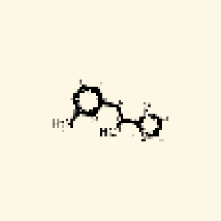 Nc1cccc(CC(O)c2nccs2)c1